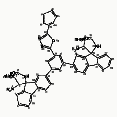 CCCCCCCCNC1(C(N)CCCCCCC)c2ccccc2-c2ccc(-c3cc(-c4ccc5c(c4)C(NCCCCCCCC)(C(N)CCCCCCC)c4ccccc4-5)cc(-c4nnc(-c5ccccc5)o4)c3)cc21